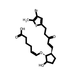 Cc1sc(CCC(=O)/C=C/[C@H]2CCC(O)[C@@H]2O/C=C\CCCC(=O)O)cc1Br